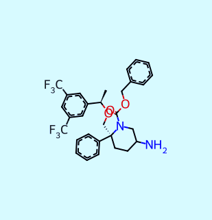 C[C@@H](OC[C@@]1(c2ccccc2)CCC(N)CN1C(=O)OCc1ccccc1)c1cc(C(F)(F)F)cc(C(F)(F)F)c1